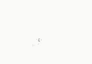 CCCCCCCCCCCCCCCC(=O)N1C[C@H](O)C[C@]1(C(=O)O)C(=O)CCCCCCCCCCCCCCC